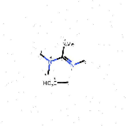 C/N=C(\NC)N(C)C.CC(=O)O